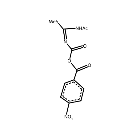 CSC(=NC(=O)OC(=O)c1ccc([N+](=O)[O-])cc1)NC(C)=O